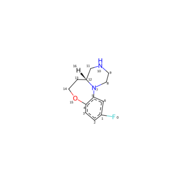 Fc1ccc2c(c1)N1CCNC[C@H]1CCO2